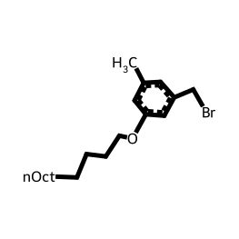 CCCCCCCCCCCCOc1cc(C)cc(CBr)c1